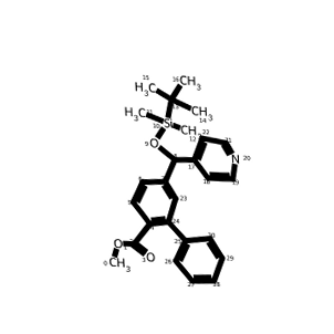 COC(=O)c1ccc(C(O[Si](C)(C)C(C)(C)C)c2ccncc2)cc1-c1ccccc1